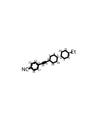 CC[C@H]1CC[C@H](C2CCC(C#Cc3ccc(C#N)cc3)CC2)CC1